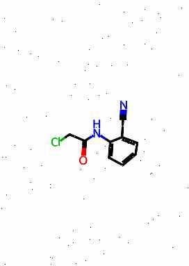 N#Cc1ccccc1NC(=O)CCl